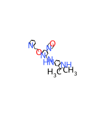 CC1Nc2ccc(N/N=C/c3cc(N4CCOCC4)cc(OCCc4ccccn4)n3)cc2C1C